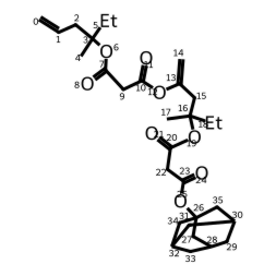 C=CCC(C)(CC)OC(=O)CC(=O)OC(=C)CC(C)(CC)OC(=O)CC(=O)OC12CC3CC(CC(C3)C1)C2